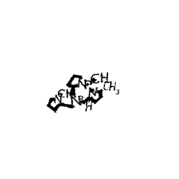 CC1CC[C@H]2CN(CC3CCCN3C)CC3CCCN3P(C)N12